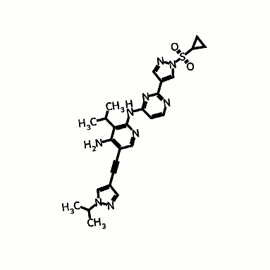 CC(C)c1c(Nc2ccnc(-c3cnn(S(=O)(=O)C4CC4)c3)n2)ncc(C#Cc2cnn(C(C)C)c2)c1N